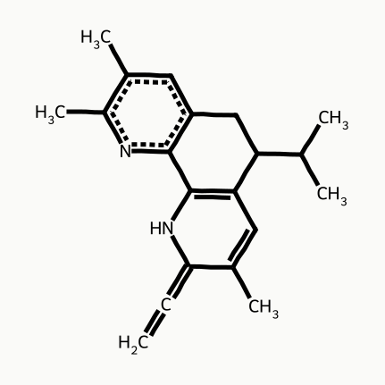 C=C=C1NC2=C(C=C1C)C(C(C)C)Cc1cc(C)c(C)nc12